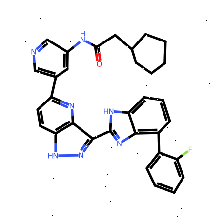 O=C(CC1CCCCC1)Nc1cncc(-c2ccc3[nH]nc(-c4nc5c(-c6ccccc6F)cccc5[nH]4)c3n2)c1